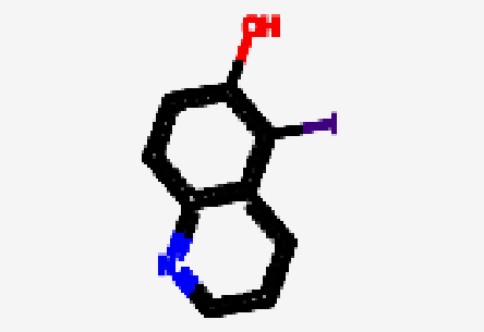 Oc1ccc2ncccc2c1I